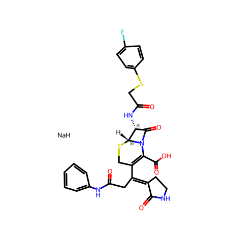 O=C(CC(=C1CCNC1=O)C1=C(C(=O)O)N2C(=O)[C@@H](NC(=O)CSc3ccc(F)cc3)[C@H]2SC1)Nc1ccccc1.[NaH]